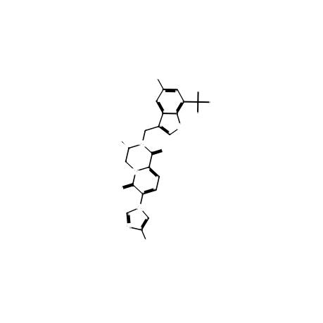 Cc1cn(-c2ccc3n(c2=O)C[C@@H](C)N(Cc2coc4c(C(F)(F)F)cc(Cl)cc24)C3=O)cn1